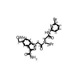 COCc1ccc2c(c1)c(C(N)=O)nn2CC(=O)N(CC(=O)Nc1cccc(Br)n1)C(C)C